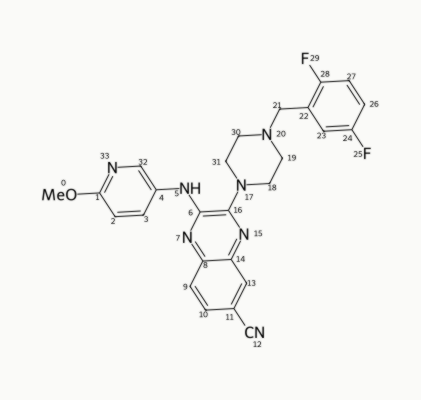 COc1ccc(Nc2nc3ccc(C#N)cc3nc2N2CCN(Cc3cc(F)ccc3F)CC2)cn1